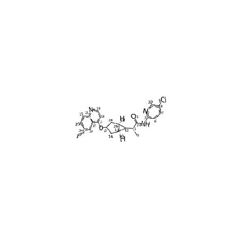 CC(C(=O)Nc1ccc(Cl)cn1)C1[C@H]2CC(Oc3ccnc4ccc(F)cc34)C[C@@H]12